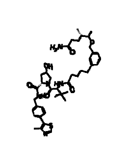 Cc1ncsc1-c1ccc(CNC(=O)[C@@H]2C[C@@H](O)CN2C(=O)[C@@H](NC(=O)CCCCc2cccc(CO[C@H](C)[C@@H](C)CCC(N)=O)c2)C(C)(C)C)cc1